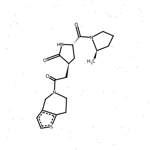 C[C@@H]1CCCN1C(=O)[C@@H]1C[C@@H](CC(=O)N2CCc3sccc3C2)C(=O)N1